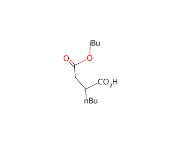 CCCCC(CC(=O)OC(C)CC)C(=O)O